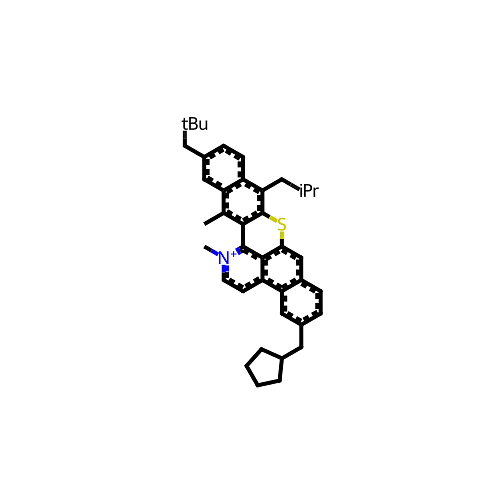 Cc1c2c(c(CC(C)C)c3ccc(CC(C)(C)C)cc13)Sc1cc3ccc(CC4CCCC4)cc3c3cc[n+](C)c-2c13